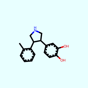 Cc1ccccc1C1CNCC1c1ccc(O)c(O)c1